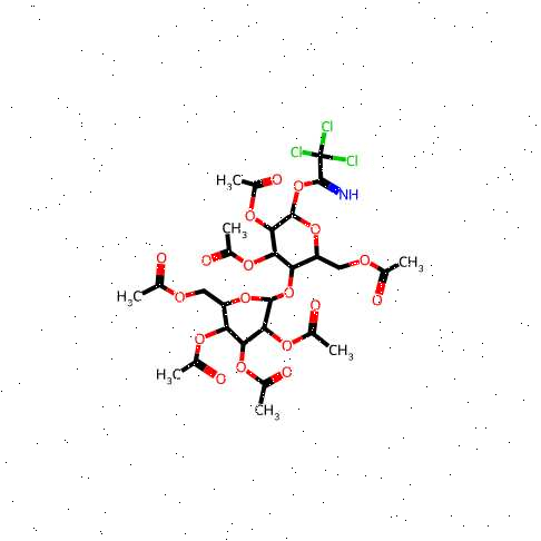 CC(=O)OCC1OC(OC2C(COC(C)=O)OC(OC(=N)C(Cl)(Cl)Cl)C(OC(C)=O)C2OC(C)=O)C(OC(C)=O)C(OC(C)=O)C1OC(C)=O